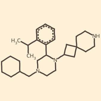 CC(C)c1ccccc1C1CN(CC2CCCCC2)CCN1C1CC2(CCNCC2)C1